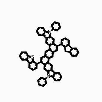 c1ccc(-n2c3ccccc3c3cc4c(cc32)c(-c2cccc3c2Cc2ccccc2-3)cc2cc3c(cc(-c5cccc6c5sc5ccccc56)c5cc6c(cc53)c3ccccc3n6-c3ccccc3)cc24)cc1